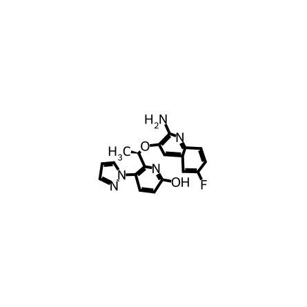 C[C@@H](Oc1cc2cc(F)ccc2nc1N)c1nc(O)ccc1-n1cccn1